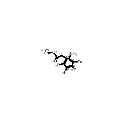 CCOC(=O)Cc1c(C)c(F)c(F)c(F)c1F